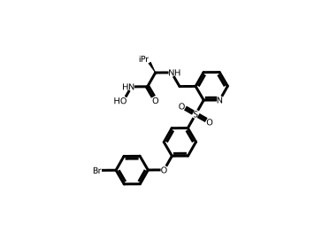 CC(C)[C@@H](NCc1cccnc1S(=O)(=O)c1ccc(Oc2ccc(Br)cc2)cc1)C(=O)NO